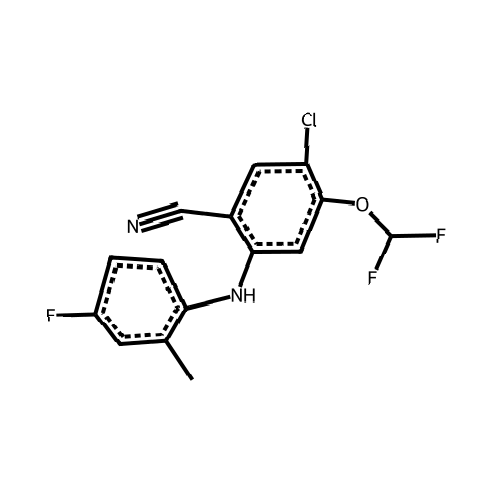 Cc1cc(F)ccc1Nc1cc(OC(F)F)c(Cl)cc1C#N